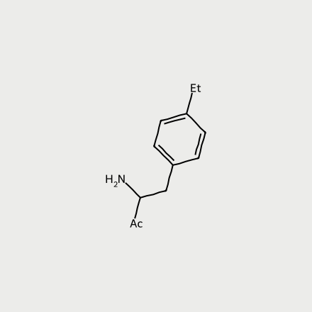 CCc1ccc(CC(N)C(C)=O)cc1